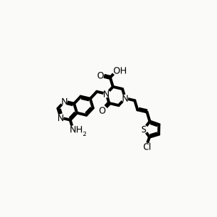 Nc1ncnc2cc(CN3C(=O)CN(C/C=C/c4ccc(Cl)s4)CC3C(=O)O)ccc12